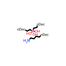 CCCCCCCCCCCCCCN.CCCCCCCCCCCCP(O)(O)(O)CCCCCCCCCCCC